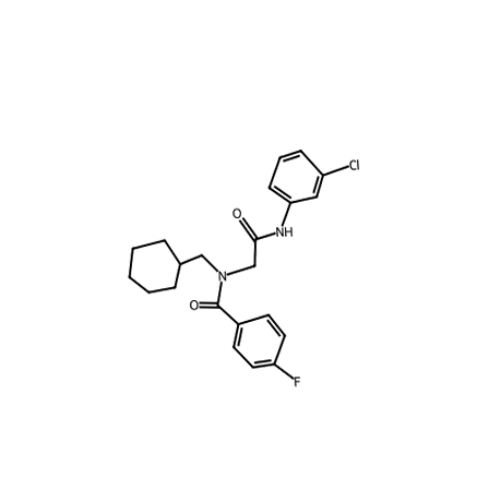 O=C(CN(CC1CCCCC1)C(=O)c1ccc(F)cc1)Nc1cccc(Cl)c1